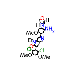 CCn1c(=O)c(-c2c(Cl)c(OC)cc(OC)c2Cl)cc2cnc(-c3cc(N)c(N4C[C@H]5C[C@@H]4CO5)cc3OC)cc21